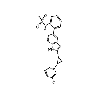 CS(=O)(=O)Nc1ccccc1-c1ccc2[nH]c(C3CC3c3cccc(Cl)c3)nc2c1